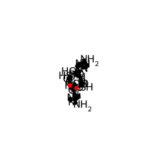 Nc1ncnc2c1ccn2[C@@H]1O[C@@H]2CO[P@@](=O)(S)O[C@@H]3[C@@H](O)[C@H](n4cnc5c(N)ncnc54)O[C@@H]3COP(=O)(S)O[C@@H]1[C@@H]2O